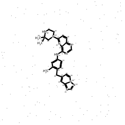 Cc1cc(Nc2ncnc3ccc(N4CCNC(C)(C)C4)nc23)ccc1Cc1ccn2ncnc2c1